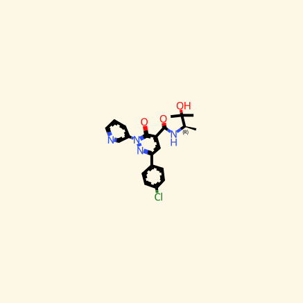 C[C@@H](NC(=O)c1cc(-c2ccc(Cl)cc2)nn(-c2cccnc2)c1=O)C(C)(C)O